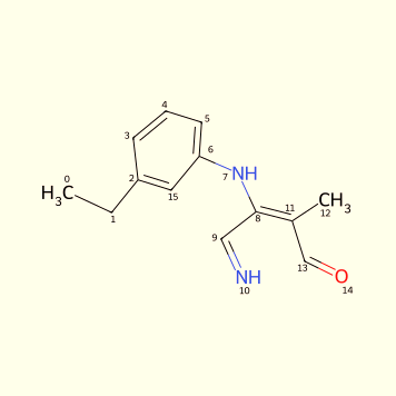 CCc1cccc(N/C(C=N)=C(\C)C=O)c1